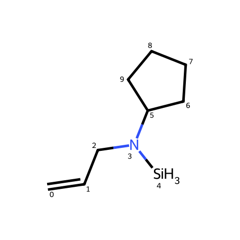 C=CCN([SiH3])C1CCCC1